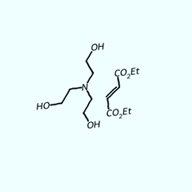 CCOC(=O)C=CC(=O)OCC.OCCN(CCO)CCO